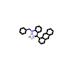 C=C(c1ccccc1NCc1ccccc1)c1cccc2cc3ccccc3cc12